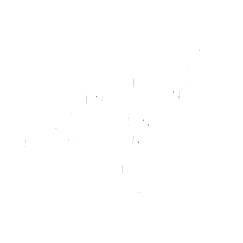 COc1cccc(-c2cc(C(F)(F)F)nn2CC(C)(C)NC(=O)OC(C)(C)C)n1